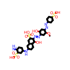 COc1cc(N=Nc2c(S(=O)(=O)O)cc3cc(Nc4ccc(N)c(S(=O)(=O)O)c4)ccc3c2O)c(O)cc1N=Nc1ccc(S(=O)(=O)O)cc1